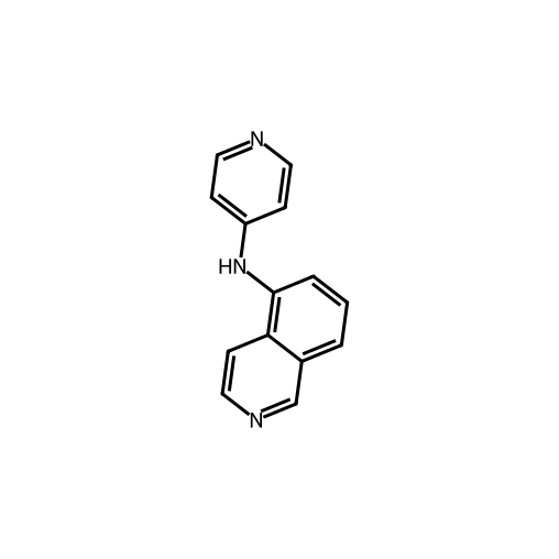 c1cc(Nc2ccncc2)c2ccncc2c1